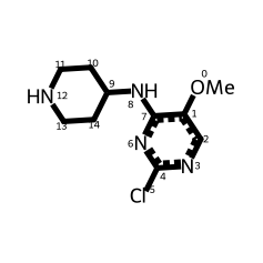 COc1cnc(Cl)nc1NC1CCNCC1